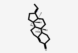 C/C=C1\CC[C@H]2[C@@H]3CCC4=CC(=O)CC[C@]4(O)[C@H]3CC[C@]12C